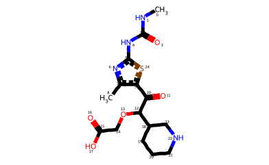 CNC(=O)Nc1nc(C)c(C(=O)C(OCC(=O)O)C2CCCNC2)s1